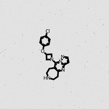 Clc1ccc(OC2CN(c3c4c(nc5ccnn35)CCNCC4)C2)cc1